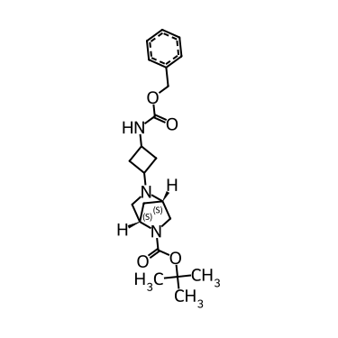 CC(C)(C)OC(=O)N1C[C@@H]2C[C@H]1CN2C1CC(NC(=O)OCc2ccccc2)C1